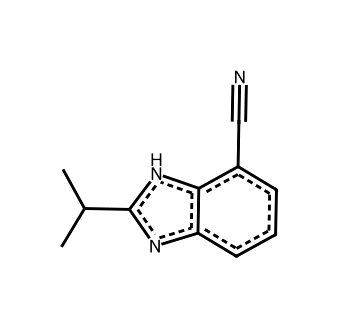 CC(C)c1nc2cccc(C#N)c2[nH]1